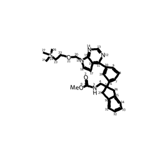 COC(=O)NCC1(c2cccc(-c3ncnc4c3ccn4COCCS(C)(C)C)c2)Cc2ccccc2C1